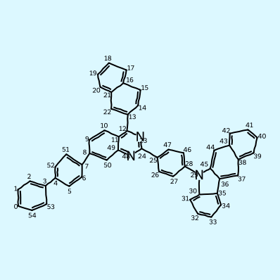 c1ccc(-c2ccc(-c3ccc4c(-c5ccc6ccccc6c5)nc(-c5ccc(-n6c7ccccc7c7cc8ccccc8cc76)cc5)nc4c3)cc2)cc1